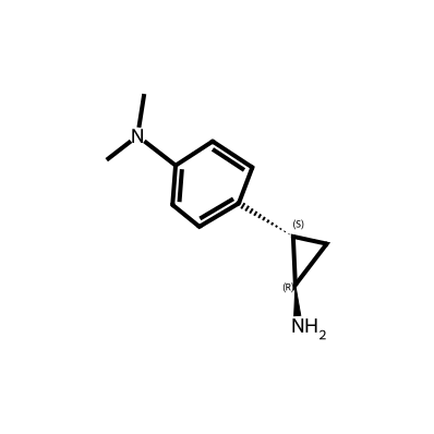 CN(C)c1ccc([C@@H]2C[C@H]2N)cc1